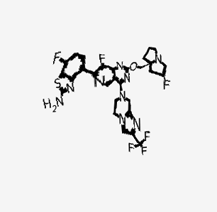 Nc1nc2c(-c3ncc4c(N5CCn6cc(C(F)(F)F)nc6C5)nc(OC[C@@]56CCCN5C[C@H](F)C6)nc4c3F)ccc(F)c2s1